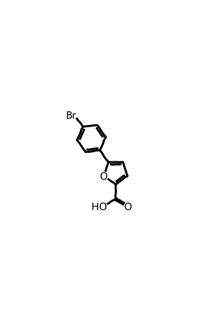 O=C(O)c1ccc(-c2ccc(Br)cc2)o1